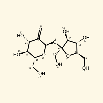 O=C1[C@@H](O[C@]2(CO)O[C@H](CO)[C@@H](O)[C@@H]2O)O[C@H](CO)[C@@H](O)[C@@H]1O